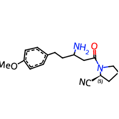 COc1ccc(CCC(N)CC(=O)N2CCC[C@H]2C#N)cc1